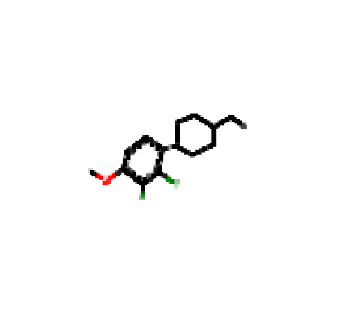 CCC1CCC(c2ccc(OC)c(F)c2F)CC1